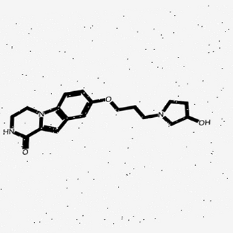 O=C1NCCn2c1cc1cc(OCCCN3CCC(O)C3)ccc12